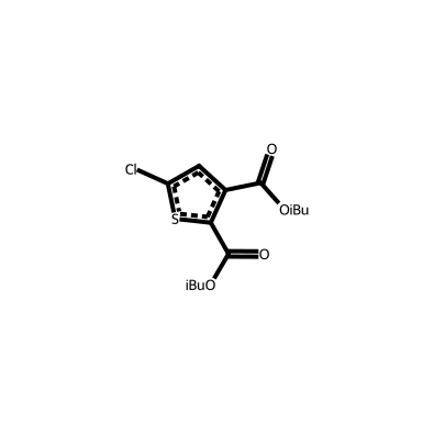 CC(C)COC(=O)c1cc(Cl)sc1C(=O)OCC(C)C